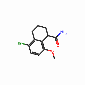 COc1ccc(Br)c2c1C(C(N)=O)CCC2